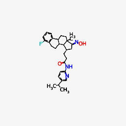 CC(C)c1ccc(NC(=O)CC[C@@H]2C/C(=N\O)[C@@]3(C)CCC4c5cccc(F)c5CCC4C23)nc1